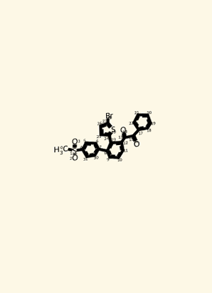 CS(=O)(=O)c1ccc(-c2cccc(C(=O)C(=O)c3ccccc3)c2-c2ccc(Br)s2)cc1